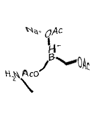 CC(=O)O[BH-](OC(C)=O)OC(C)=O.CN.[Na+]